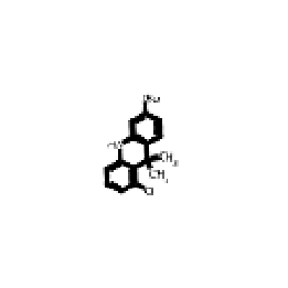 CC(C)(C)c1ccc2c(c1)Nc1cccc(Cl)c1C2(C)C